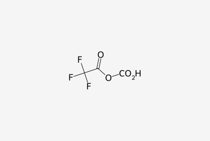 O=C(O)OC(=O)C(F)(F)F